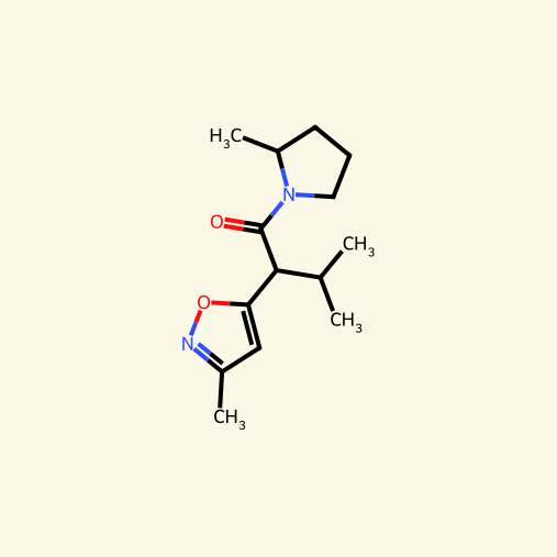 Cc1cc(C(C(=O)N2CCCC2C)C(C)C)on1